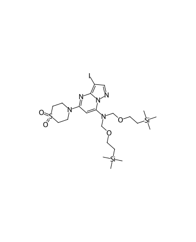 C[Si](C)(C)CCOCN(COCC[Si](C)(C)C)c1cc(N2CCS(=O)(=O)CC2)nc2c(I)cnn12